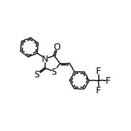 O=C1/C(=C/c2cccc(C(F)(F)F)c2)SC(=S)N1c1ccccc1